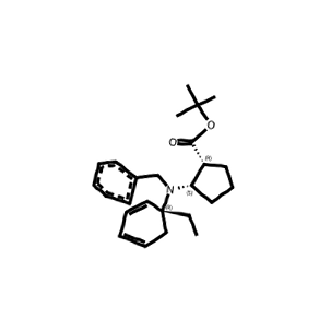 CC[C@]1(N(Cc2ccccc2)[C@H]2CCC[C@H]2C(=O)OC(C)(C)C)C=CC=CC1